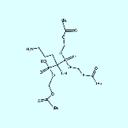 CC(C)(C)C(=O)OCOP(=O)(O)C(O)(CCCN)P(=O)(OCOC(=O)C(C)(C)C)OCOC(=O)C(C)(C)C